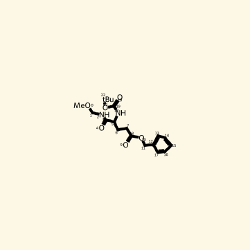 COCNC(=O)C(CCC(=O)OCc1ccccc1)NC(=O)OC(C)(C)C